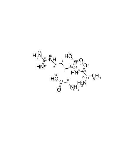 C[C@H](N)C(=O)N[C@@H](CCCNC(=N)N)C(=O)O.NCC(=O)O